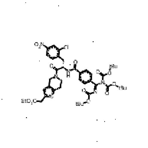 CCOC(=O)Cc1cc2c(s1)CCN(C(=O)[C@H](Cc1ccc([N+](=O)[O-])cc1Cl)NC(=O)c1ccc(C(=NC(=O)OC(C)(C)C)N(C(=O)OC(C)(C)C)C(=O)OC(C)(C)C)cc1)C2